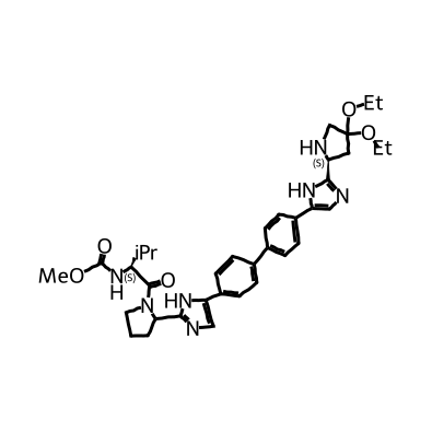 CCOC1(OCC)CN[C@H](c2ncc(-c3ccc(-c4ccc(-c5cnc(C6CCCN6C(=O)[C@@H](NC(=O)OC)C(C)C)[nH]5)cc4)cc3)[nH]2)C1